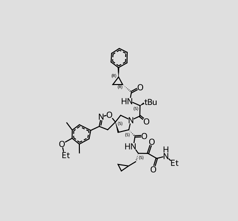 CCNC(=O)C(=O)[C@H](CC1CC1)NC(=O)[C@@H]1C[C@]2(CC(c3cc(C)c(OCC)c(C)c3)=NO2)CN1C(=O)[C@@H](NC(=O)[C@@H]1C[C@H]1c1ccccc1)C(C)(C)C